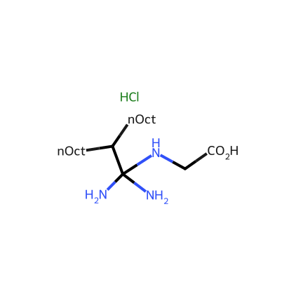 CCCCCCCCC(CCCCCCCC)C(N)(N)NCC(=O)O.Cl